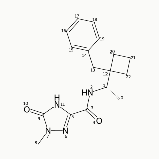 C[C@H](NC(=O)c1nn(C)c(=O)[nH]1)C1(Cc2ccccc2)CCC1